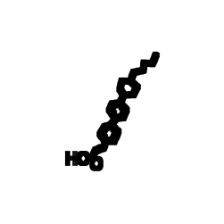 CCCCCC1CCC(c2ccc(-c3ccc(C=CC(=O)O)cc3)cc2)CC1